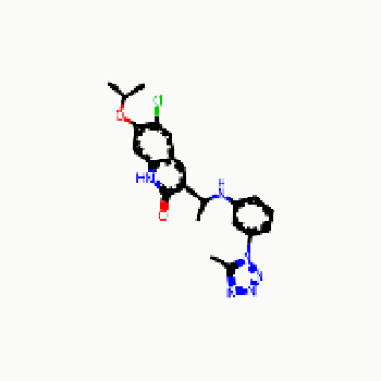 Cc1nnnn1-c1cccc(NC(C)c2cc3cc(Cl)c(OC(C)C)cc3[nH]c2=O)c1